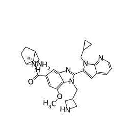 COc1cc(C(=O)N2CC3CCC2[C@@H]3N)cc2nc(-c3cc4cccnc4n3CC3CC3)n(CC3CNC3)c12